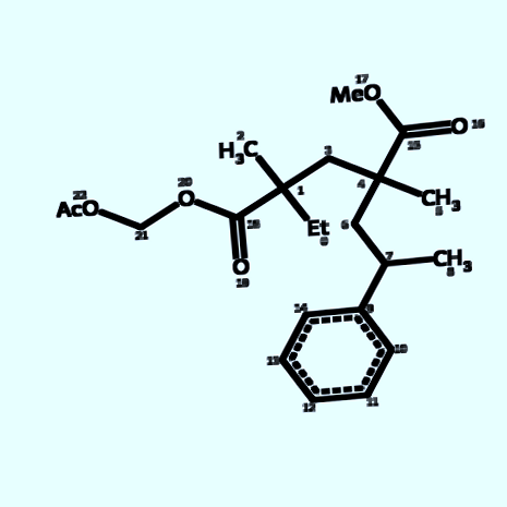 CCC(C)(CC(C)(CC(C)c1ccccc1)C(=O)OC)C(=O)OCOC(C)=O